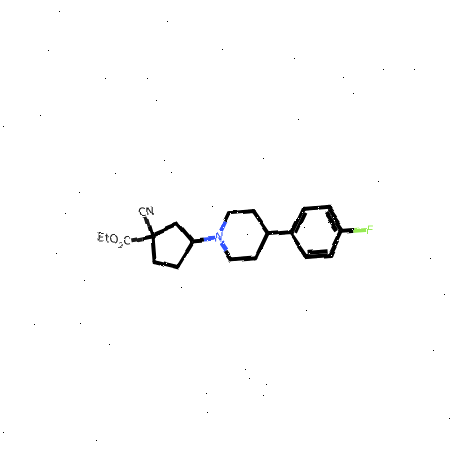 CCOC(=O)C1(C#N)CCC(N2CCC(c3ccc(F)cc3)CC2)C1